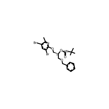 Cc1nc(OC[C@H](COCc2ccccc2)OC(=O)NC(C)(C)C)c(Br)cc1Br